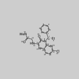 CC[C@@H](c1ccccc1)n1c(=O)c(NCC(=O)NC)nc2ccc(Cl)nc21